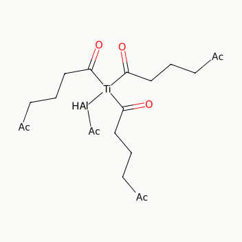 CC(=O)CCC[C](=O)[Ti]([AlH][C](C)=O)([C](=O)CCCC(C)=O)[C](=O)CCCC(C)=O